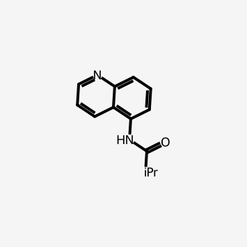 CC(C)C(=O)Nc1cccc2ncccc12